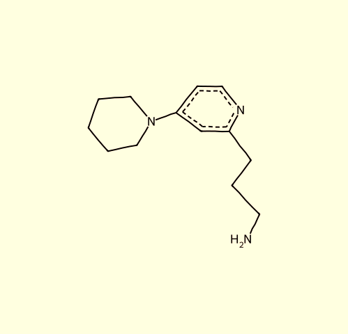 NCCCc1cc(N2CCCCC2)ccn1